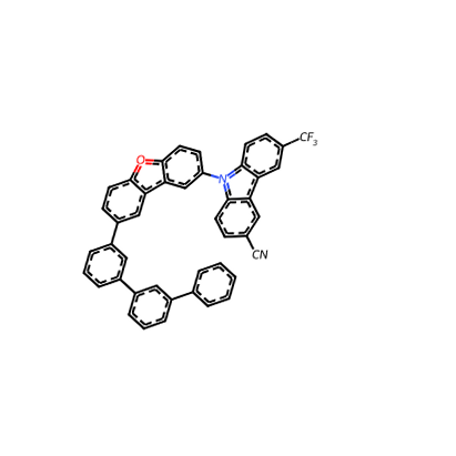 N#Cc1ccc2c(c1)c1cc(C(F)(F)F)ccc1n2-c1ccc2oc3ccc(-c4cccc(-c5cccc(-c6ccccc6)c5)c4)cc3c2c1